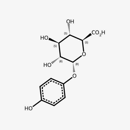 O=C(O)[C@H]1O[C@H](Oc2ccc(O)cc2)[C@H](O)[C@@H](O)[C@@H]1O